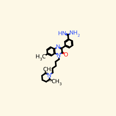 Cc1ccc2nc(-c3cccc(C(=N)N)c3)c(=O)n(CCCCCN3[C@H](C)CCC[C@@H]3C)c2c1